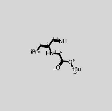 CC(C)/C=C(/C=N)NCC(=O)OC(C)(C)C